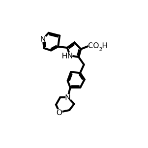 O=C(O)c1cc(-c2ccncc2)[nH]c1Cc1ccc(N2CCOCC2)cc1